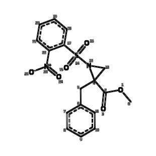 COC(=O)C1(Cc2ccccc2)CN1S(=O)(=O)c1ccccc1[N+](=O)[O-]